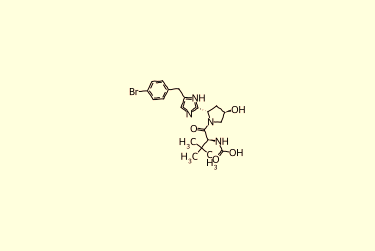 CC(C)(C)[C@H](NC(=O)O)C(=O)N1C[C@H](O)C[C@H]1c1ncc(Cc2ccc(Br)cc2)[nH]1